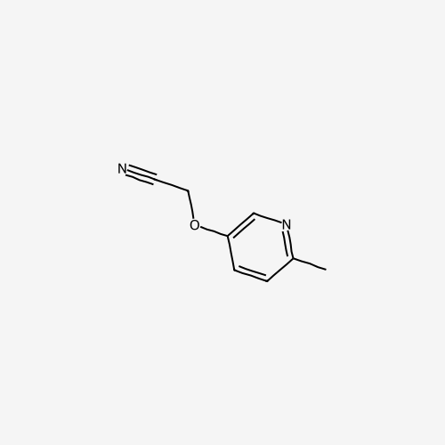 Cc1ccc(OCC#N)cn1